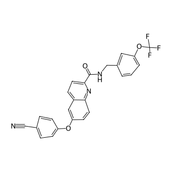 N#Cc1ccc(Oc2ccc3nc(C(=O)NCc4cccc(OC(F)(F)F)c4)ccc3c2)cc1